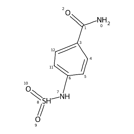 NC(=O)c1ccc(N[SH](=O)=O)cc1